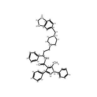 Cc1c(C(=O)NC(CCN2CCN(Cc3ccc4c(c3)OCO4)CC2)c2ccccc2)c(-c2ccccc2)nn1-c1ccccc1